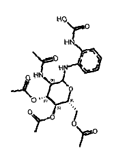 CC(=O)N[C@H]1C(Nc2ccccc2NC(=O)O)O[C@H](COC(C)=O)[C@@H](OC(C)=O)[C@@H]1OC(C)=O